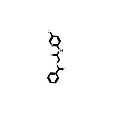 O=C(CSC(=O)c1ccccc1)Nc1ccc(Cl)cn1